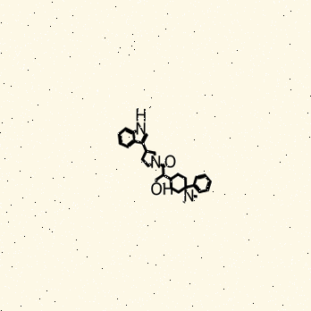 CN(C)C1(c2ccccc2)CCC(C(CO)C(=O)N2CCC(c3c[nH]c4ccccc34)C2)CC1